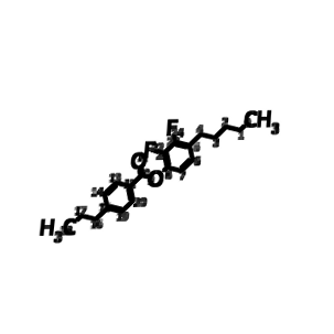 CCCCCc1ccc(OC(=O)c2ccc(CCC)cc2)c(F)c1F